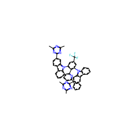 Cc1nc(C)nc(-c2ccc3c4ccccc4n(-c4cc(C(F)(F)F)cc(-n5c6ccccc6c6ccc(-c7nc(C)nc(C)n7)cc65)c4-c4cccc(-c5ccccc5)n4)c3c2)n1